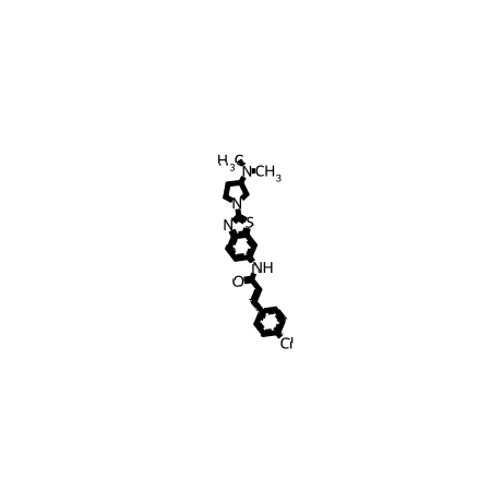 CN(C)C1CCN(c2nc3ccc(NC(=O)C=Cc4ccc(Cl)cc4)cc3s2)C1